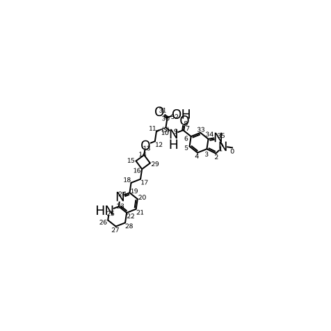 Cn1cc2ccc(C(=O)N[C@@H](CCOC3CC(CCc4ccc5c(n4)NCCC5)C3)C(=O)O)cc2n1